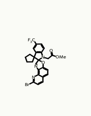 COC(=O)CN1c2ccc(C(F)(F)F)cc2C2(CCCC2)C12C=Nc1c(ccc3ccc(Br)nc13)O2